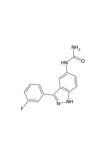 NC(=O)Nc1ccc2[nH]nc(-c3cccc(F)c3)c2c1